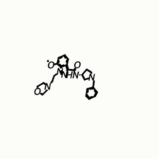 COc1cccc2c(C(=O)N[C@@H]3CCN(Cc4ccccc4)C3)nn(CCN3CCOCC3)c12